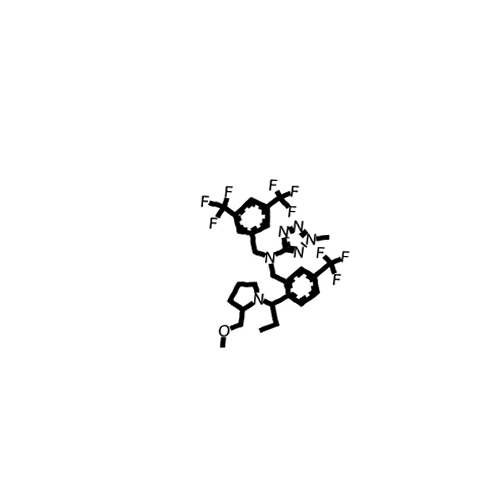 CCC(c1ccc(C(F)(F)F)cc1CN(Cc1cc(C(F)(F)F)cc(C(F)(F)F)c1)c1nnn(C)n1)N1CCCC1COC